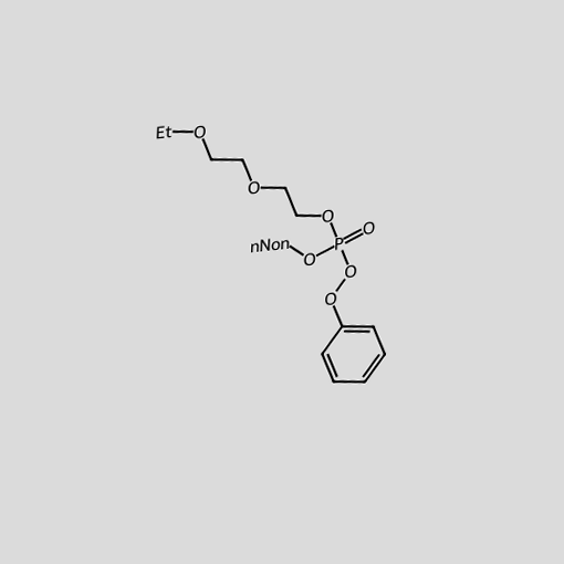 CCCCCCCCCOP(=O)(OCCOCCOCC)OOc1ccccc1